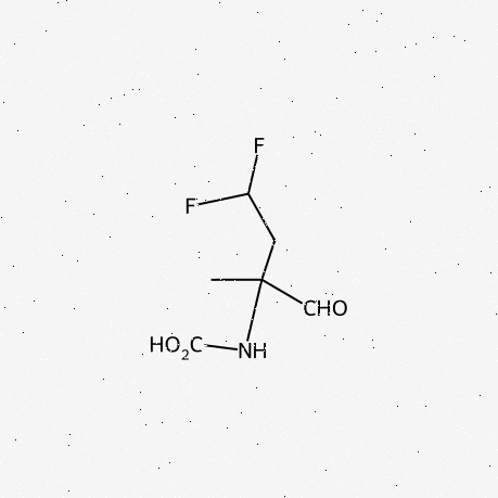 CC(C=O)(CC(F)F)NC(=O)O